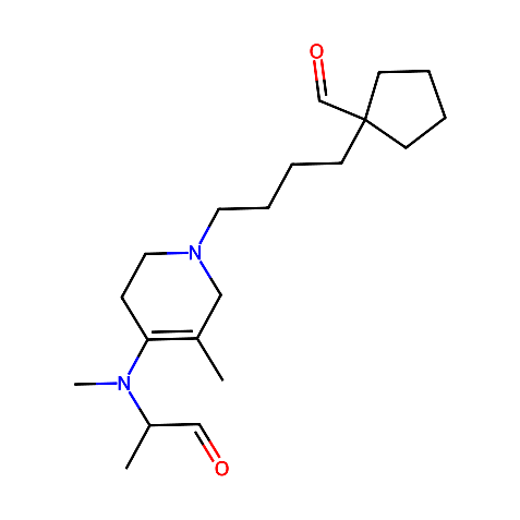 CC1=C(N(C)C(C)C=O)CCN(CCCCC2(C=O)CCCC2)C1